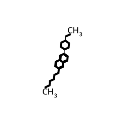 CCCCCCCc1ccc2cc([C@H]3CC[C@H](CCC)CC3)ccc2c1